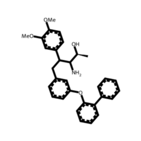 COc1ccc(C(Cc2cccc(Oc3ccccc3-c3ccccc3)c2)C(N)[C@H](C)O)cc1OC